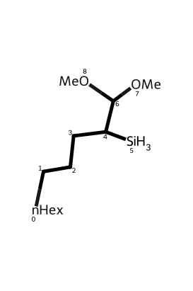 CCCCCCCCCC([SiH3])C(OC)OC